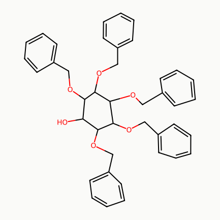 OC1C(OCc2ccccc2)C(OCc2ccccc2)C(OCc2ccccc2)C(OCc2ccccc2)C1OCc1ccccc1